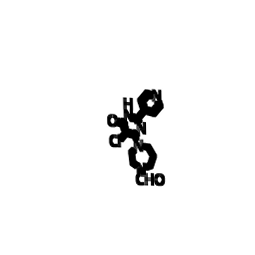 O=CN1CCCN(c2nc(-c3ccncc3)[nH]c(=O)c2Cl)CC1